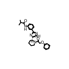 CC(C)C(=O)Nc1cccc(-c2n[nH]c([C@H]3CCCCN3C(=O)COc3ccccc3)n2)c1